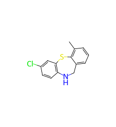 Cc1cccc2c1Sc1cc(Cl)ccc1NC2